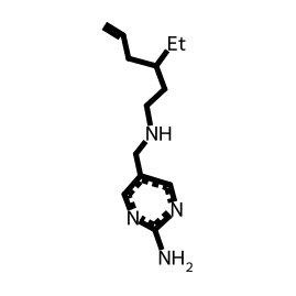 C=CCC(CC)CCNCc1cnc(N)nc1